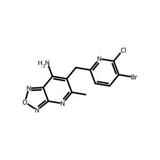 Cc1nc2nonc2c(N)c1Cc1ccc(Br)c(Cl)n1